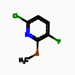 CSc1nc(Cl)ccc1F